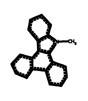 Cn1c2ccccc2c2c3ccccc3c3ccccc3c21